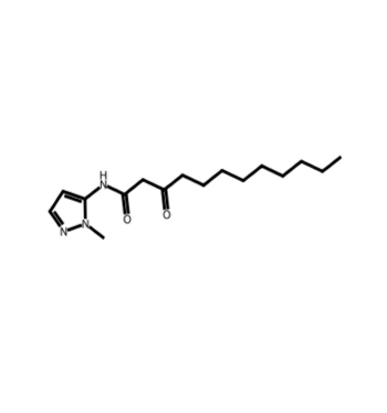 CCCCCCCCCC(=O)CC(=O)Nc1ccnn1C